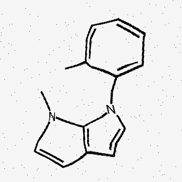 Cc1ccccc1-n1ccc2ccn(C)c21